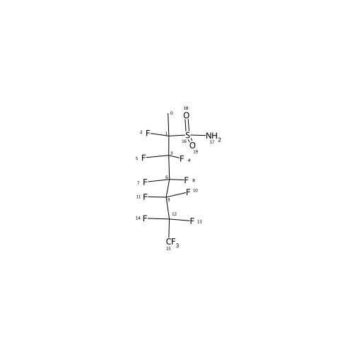 CC(F)(C(F)(F)C(F)(F)C(F)(F)C(F)(F)C(F)(F)F)S(N)(=O)=O